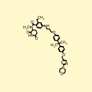 C=Cc1cc(NCCCOc2ccc(C(C)(C)c3ccc(OCc4cnc(N5CCOCC5)s4)cc3)cc2)ccc1C(=O)N(C)C1CCC(=O)NC1=O